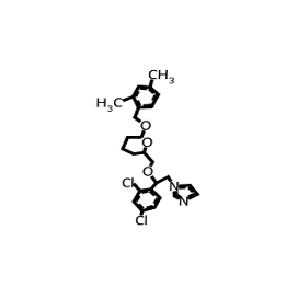 Cc1ccc(COC2CCCC(COC(Cn3ccnc3)c3ccc(Cl)cc3Cl)O2)c(C)c1